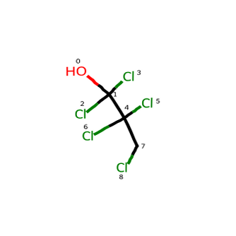 OC(Cl)(Cl)C(Cl)(Cl)CCl